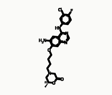 C[C@@H]1CN(CCCCOc2cc3ncnc(Nc4ccc(F)c(Cl)c4)c3cc2N)CC(=O)O1